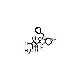 Cc1[nH]c(C(=O)N[C@@H]2CCNC[C@H]2OCc2ccccc2)c(Cl)c1Cl